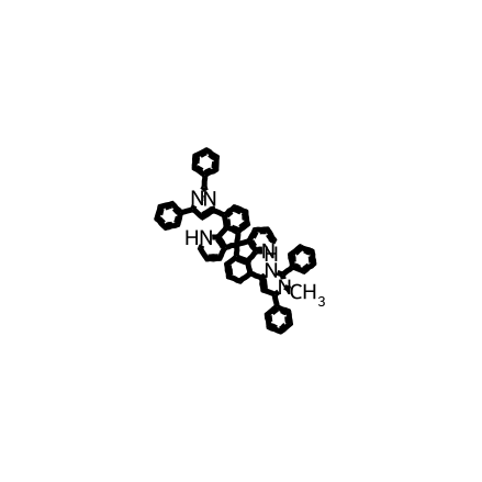 CN1C(c2ccccc2)C=C(C2CC=CC3=C2c2ncccc2C32C3=C(NCC=C3)c3c(C4=CC(c5ccccc5)N5C(c6ccccc6)N45)cccc32)NC1c1ccccc1